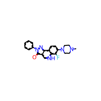 CN1CCN(c2ccc3c4nn(-c5ccccc5)c(=O)c-4c[nH]c3c2F)CC1